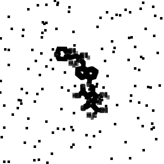 C[C@@H](O)[C@H]1C(=O)N2C(C(=O)O)=C(COc3cccc4c(C[N+](C)(C)CC[N+]5(C)CCOCC5)cccc34)[C@H](C)[C@H]12